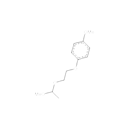 COc1ccc(OCCOC(C)OC)cc1